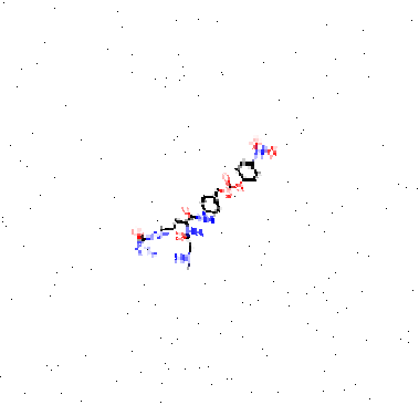 CNCC(=O)NC(CCCNC(N)=O)C(=O)Nc1ccc(COC(=O)Oc2ccc([N+](=O)[O-])cc2)cc1